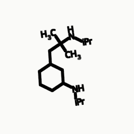 CC(C)NC1CCCC(CC(C)(C)NC(C)C)C1